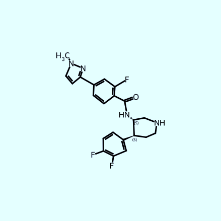 Cn1ccc(-c2ccc(C(=O)N[C@@H]3CNCC[C@H]3c3ccc(F)c(F)c3)c(F)c2)n1